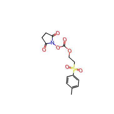 Cc1ccc(S(=O)(=O)CCOC(=O)ON2C(=O)CCC2=O)cc1